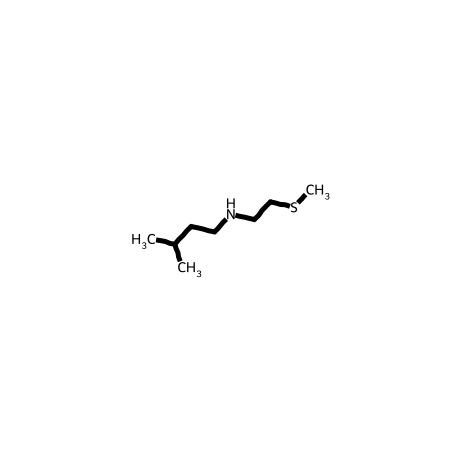 CSCCNCCC(C)C